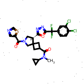 CN(C(=O)C1CC2(C1)CN(C(=O)c1cncs1)C[C@@H]2c1nnc(C(F)(F)c2ccc(Cl)c(Cl)c2)o1)C1CC1